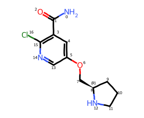 NC(=O)c1cc(OC[C@H]2CCCN2)cnc1Cl